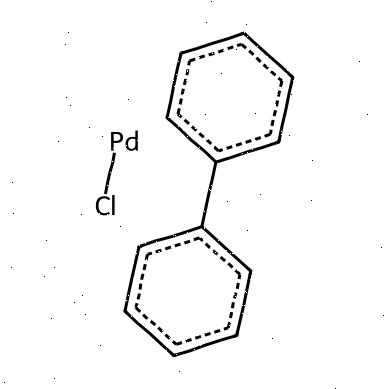 [Cl][Pd].c1ccc(-c2ccccc2)cc1